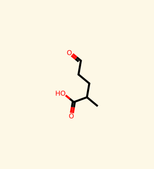 CC(CCC=O)C(=O)O